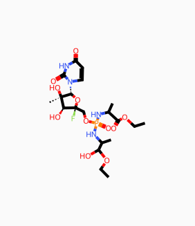 CCOC(=O)C(C)NP(=O)(NC(C)C(O)OCC)OC[C@@]1(F)O[C@@H](n2ccc(=O)[nH]c2=O)[C@](C)(O)[C@@H]1O